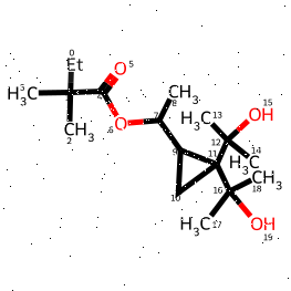 CCC(C)(C)C(=O)OC(C)C1CC1(C(C)(C)O)C(C)(C)O